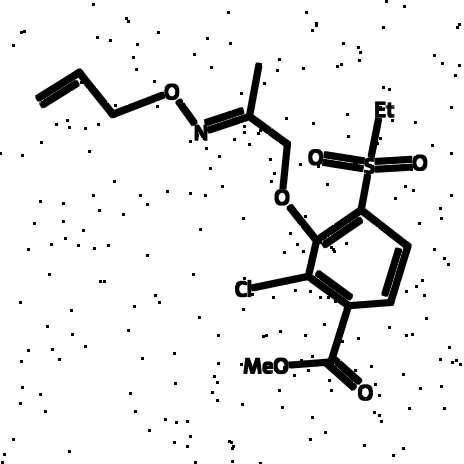 C=CCON=C(C)COc1c(S(=O)(=O)CC)ccc(C(=O)OC)c1Cl